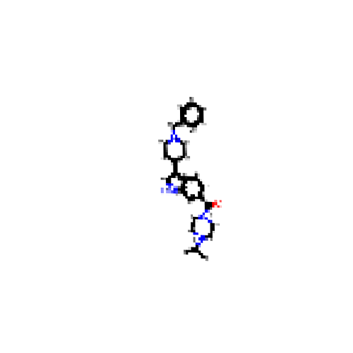 CC(C)N1CCN(C(=O)c2ccc3c(C4CCN(Cc5ccccc5)CC4)c[nH]c3c2)CC1